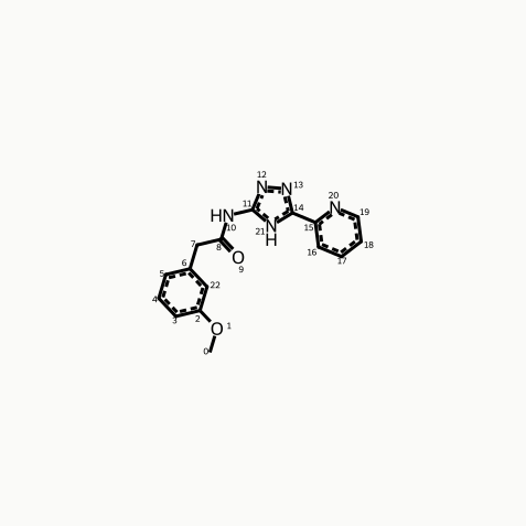 COc1cccc(CC(=O)Nc2nnc(-c3ccccn3)[nH]2)c1